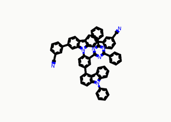 N#Cc1cccc(-c2ccc3c4ccc(-c5cccc(C#N)c5)cc4n(-c4ccc(-c5cccc6c5c5ccccc5n6-c5ccccc5)cc4-c4nc(-c5ccccc5)nc(-c5ccccc5)n4)c3c2)c1